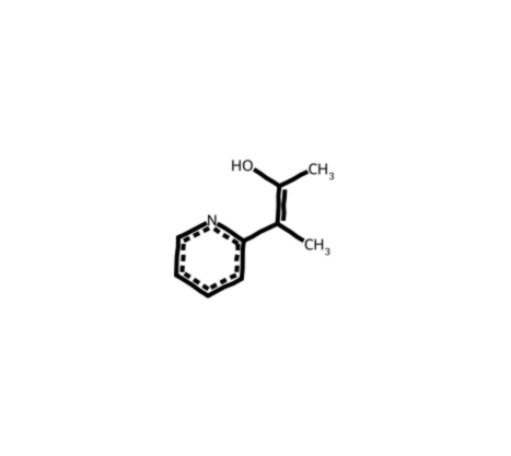 C/C(O)=C(\C)c1ccccn1